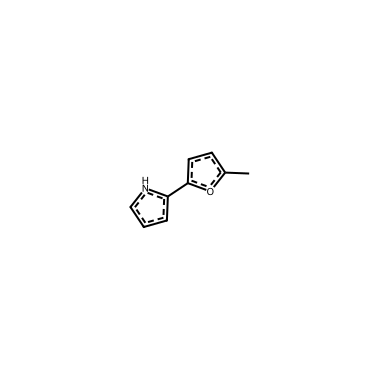 Cc1ccc(-c2ccc[nH]2)o1